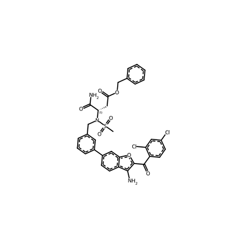 CS(=O)(=O)N(Cc1cccc(-c2ccc3c(N)c(C(=O)c4ccc(Cl)cc4Cl)oc3c2)c1)[C@@H](CC(=O)OCc1ccccc1)C(N)=O